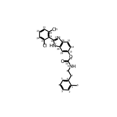 Cc1ccccc1CCNC(=O)Oc1ccc2nc(-c3c(Cl)cccc3Cl)[nH]c2c1